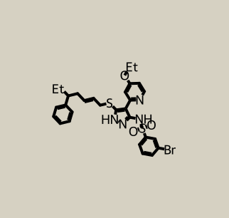 CCOc1ccnc(-c2c(NS(=O)(=O)c3cccc(Br)c3)n[nH]c2SCC=CCC(CC)c2ccccc2)c1